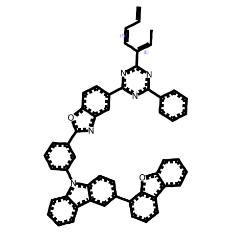 C=C/C=C\C(=C/C)c1nc(-c2ccccc2)nc(-c2ccc3oc(-c4cccc(-n5c6ccccc6c6cc(-c7cccc8c7oc7ccccc78)ccc65)c4)nc3c2)n1